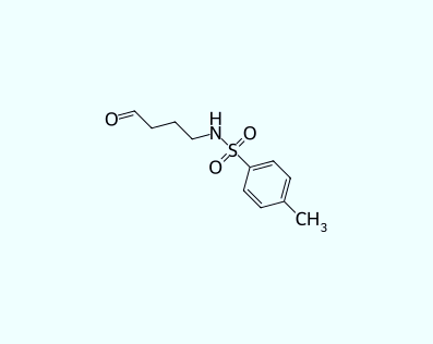 Cc1ccc(S(=O)(=O)NCCCC=O)cc1